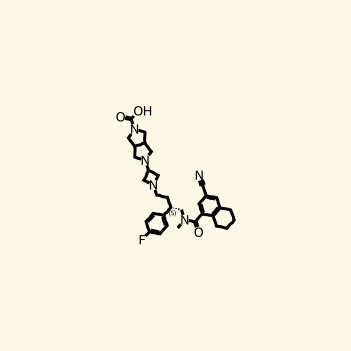 CN(C[C@@H](CCN1CC(N2CC3CN(C(=O)O)CC3C2)C1)c1ccc(F)cc1)C(=O)c1cc(C#N)cc2c1CCCC2